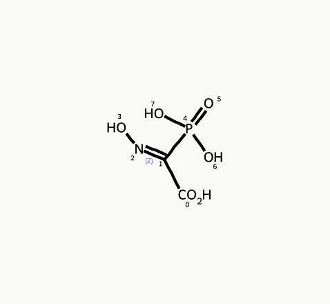 O=C(O)/C(=N/O)P(=O)(O)O